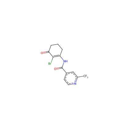 O=C1CCCC(NC(=O)c2ccnc(C(F)(F)F)c2)=C1Br